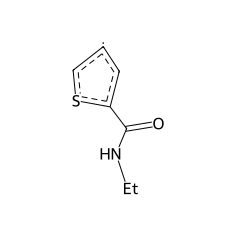 CCNC(=O)c1c[c]cs1